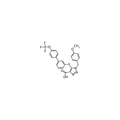 COc1ccc(Cn2nnc(C(=O)O)c2Sc2cccc(-c3ccc(OC(F)(F)F)cc3)c2)cc1